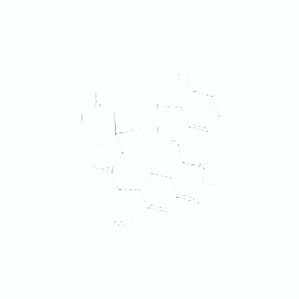 COc1cc2ncnc(Nc3cccc(Cl)c3F)c2cc1CN(C)CC1(C(=O)O)CCCNC1